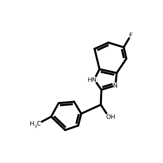 Cc1ccc(C(O)c2nc3cc(F)ccc3[nH]2)cc1